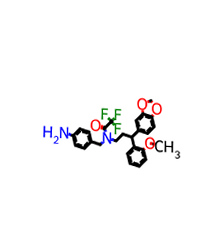 COc1ccccc1C(CCN(Cc1ccc(N)cc1)C(=O)C(F)(F)F)c1ccc2c(c1)OCO2